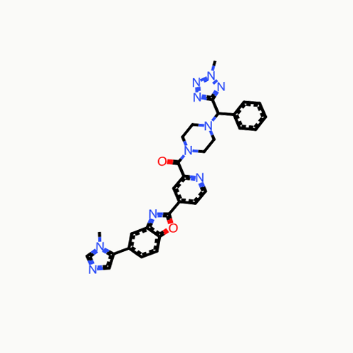 Cn1nnc(C(c2ccccc2)N2CCN(C(=O)c3cc(-c4nc5cc(-c6cncn6C)ccc5o4)ccn3)CC2)n1